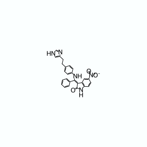 O=C1Nc2ccc([N+](=O)[O-])cc2C1=C(Nc1ccc(CCc2c[nH]cn2)cc1)c1ccccc1